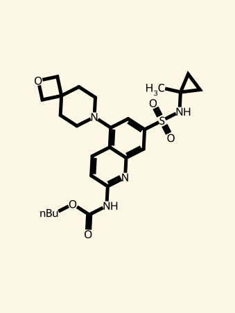 CCCCOC(=O)Nc1ccc2c(N3CCC4(CC3)COC4)cc(S(=O)(=O)NC3(C)CC3)cc2n1